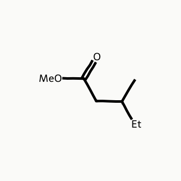 CC[C](C)CC(=O)OC